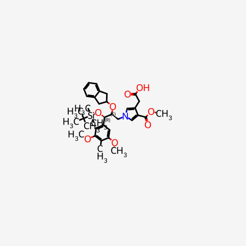 COC(=O)c1cn(C[C@H](OC2Cc3ccccc3C2)[C@H](O[Si](C)(C)C(C)(C)C)c2cc(OC)c(C)c(OC)c2)cc1CC(=O)O